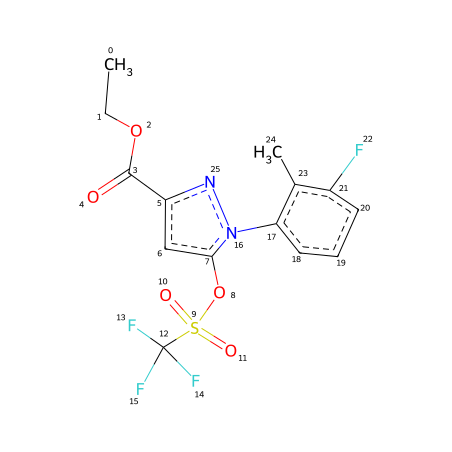 CCOC(=O)c1cc(OS(=O)(=O)C(F)(F)F)n(-c2cccc(F)c2C)n1